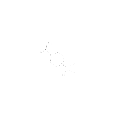 CS(=O)(=O)N1CCN(C(=O)O)CC1